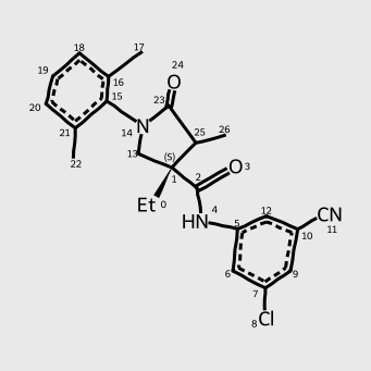 CC[C@@]1(C(=O)Nc2cc(Cl)cc(C#N)c2)CN(c2c(C)cccc2C)C(=O)C1C